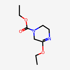 CCOC(=O)N1CCN=C(OCC)C1